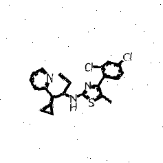 CCC(Nc1nc(-c2ccc(Cl)cc2Cl)c(C)s1)C(c1ccccn1)C1CC1